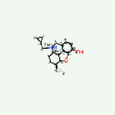 C=C1CCC2[C@H]3Cc4ccc(O)c5c4[C@@]2(CCN3CC2CC2)C1O5